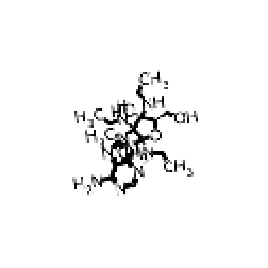 CCN[C@@]1(N(C)C)[C@@](O)(NCC)[C@@H](CO)O[C@@]1(NCC)n1cnc2c(N)ncnc21